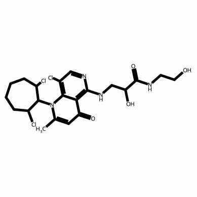 Cc1cc(=O)c2c(NCC(O)C(=O)NCCO)ncc(Cl)c2n1C1C(Cl)CCCCC1Cl